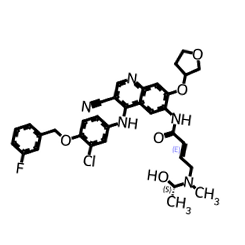 C[C@H](O)N(C)C/C=C/C(=O)Nc1cc2c(Nc3ccc(OCc4cccc(F)c4)c(Cl)c3)c(C#N)cnc2cc1OC1CCOC1